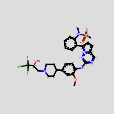 COc1cc(C2CCN(C[C@H](O)C(F)(F)F)CC2)ccc1Nc1ncc2ccc(-c3ccccc3N(C)S(C)(=O)=O)n2n1